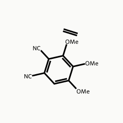 C=C.COc1cc(C#N)c(C#N)c(OC)c1OC